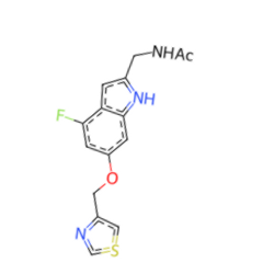 CC(=O)NCc1cc2c(F)cc(OCc3cscn3)cc2[nH]1